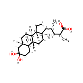 C[C@H](C[C@@H](C)[C@H]1CC[C@H]2[C@@H]3CC[C@@H]4CC(O)(O)CC[C@]4(C)[C@H]3CC[C@]12C)C(=O)O